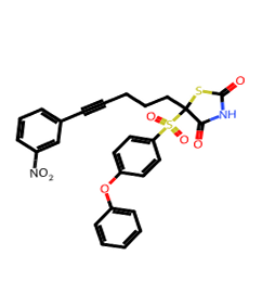 O=C1NC(=O)C(CCCC#Cc2cccc([N+](=O)[O-])c2)(S(=O)(=O)c2ccc(Oc3ccccc3)cc2)S1